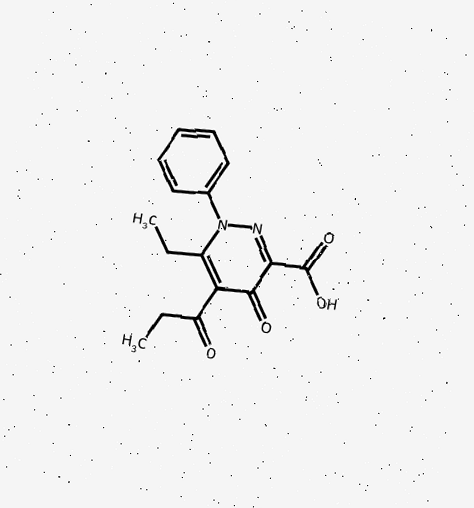 CCC(=O)c1c(CC)n(-c2ccccc2)nc(C(=O)O)c1=O